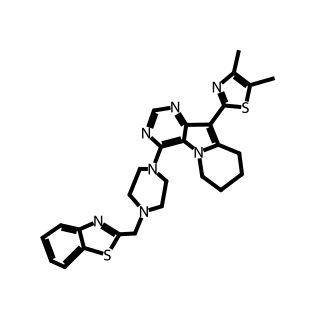 Cc1nc(-c2c3n(c4c(N5CCN(Cc6nc7ccccc7s6)CC5)ncnc24)CCCC3)sc1C